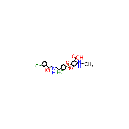 CCCNc1ccc(S(=O)(=O)c2ccc(CCNC[C@H](O)c3cccc(Cl)c3)cc2)cc1C(=O)O.Cl